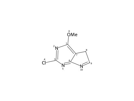 COc1nc(Cl)nc2c1CC=N2